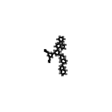 N#Cc1cc(C#N)cc(-c2cc(-c3ccc4ccc(-c5ccc6ccccc6c5)cc4c3)cc(-c3ccc4c5c(cccc35)-c3ccccc3-4)c2)c1